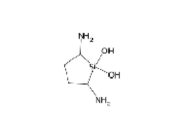 NC1CCC(N)[Si]1(O)O